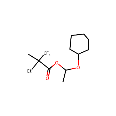 CCC(C)(C(=O)OC(C)OC1CCCCC1)C(F)(F)F